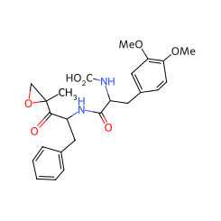 COc1ccc(CC(NC(=O)O)C(=O)NC(Cc2ccccc2)C(=O)C2(C)CO2)cc1OC